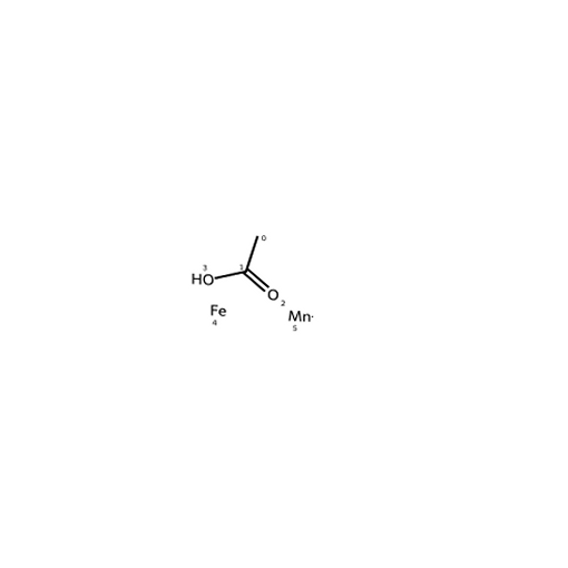 CC(=O)O.[Fe].[Mn]